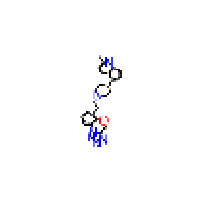 Cc1ccc2c(C3CCN(CCc4cccc5c4OCc4nnnn4-5)CC3)cccc2n1